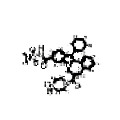 CN(C)S(=O)(=O)NC(=O)c1ccc2c(C3CCCCC3)c3n(c2c1)CC(C(=O)N1CCS(=O)(=O)CC1)=Cc1ccccc1-3